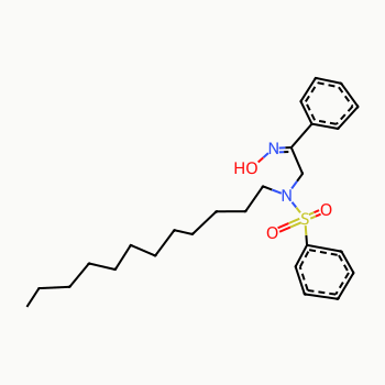 CCCCCCCCCCCCN(CC(=NO)c1ccccc1)S(=O)(=O)c1ccccc1